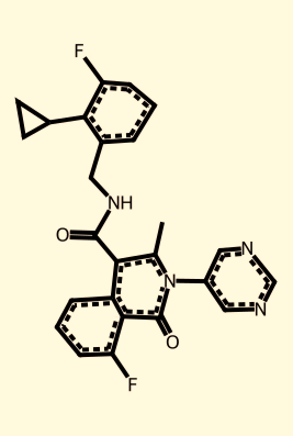 Cc1c(C(=O)NCc2cccc(F)c2C2CC2)c2cccc(F)c2c(=O)n1-c1cncnc1